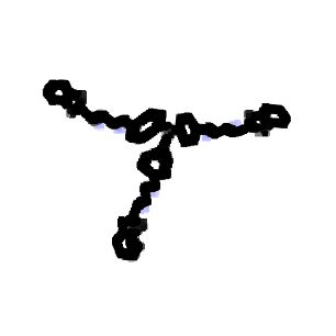 C(/C=C/c1nc2ccccc2s1)=C\c1ccc(N(c2ccc(/C=C/C=C/c3nc4ccccc4s3)cc2)c2ccc(/C=C/C=C/c3nc4ccccc4s3)cc2)cc1